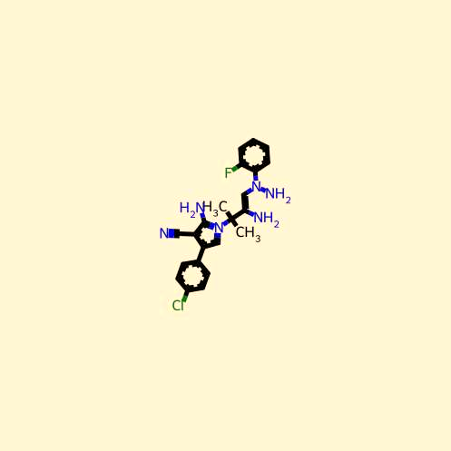 CC(C)(/C(N)=C/N(N)c1ccccc1F)n1cc(-c2ccc(Cl)cc2)c(C#N)c1N